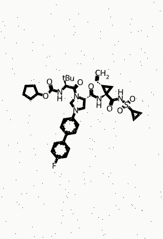 C=C[C@@H]1C[C@]1(NC(=O)[C@@H]1CN(c2ccc(-c3ccc(F)cc3)cc2)CN1C(=O)[C@@H](NC(=O)OC1CCCC1)C(C)(C)C)C(=O)NS(=O)(=O)C1CC1